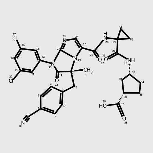 C[C@@]1(Cc2ccc(C#N)cc2)C(=O)N(c2cc(Cl)cc(Cl)c2)c2ncc(C(=O)NC3(C(=O)N[C@@H]4CC[C@H](C(=O)O)C4)CC3)n21